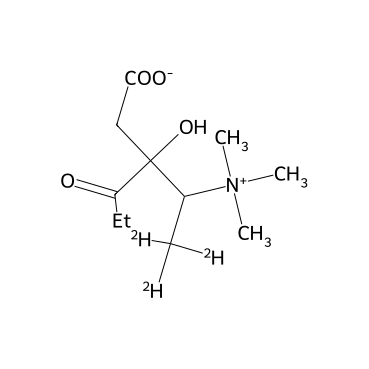 [2H]C([2H])([2H])C(C(O)(CC(=O)[O-])C(=O)CC)[N+](C)(C)C